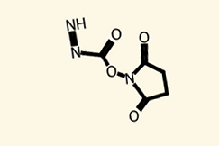 N=NC(=O)ON1C(=O)CCC1=O